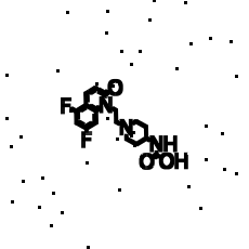 O=C(O)NC1CCN(CCn2c(=O)ccc3c(F)cc(F)cc32)CC1